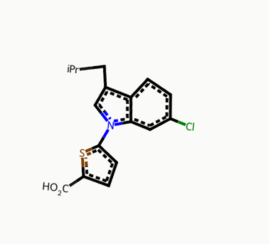 CC(C)Cc1cn(-c2ccc(C(=O)O)s2)c2cc(Cl)ccc12